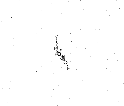 CCCCCCCC[C@@H](F)COc1c(F)cc([C@H]2CC[Si@H]([C@H]3CC[C@H](CCC(C)C)CC3)CC2)cc1F